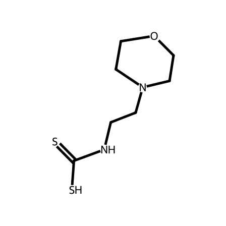 S=C(S)NCCN1CCOCC1